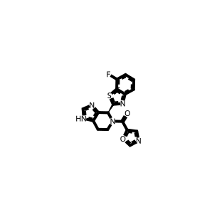 O=C(c1cnco1)N1CCc2[nH]cnc2[C@H]1c1nc2cccc(F)c2s1